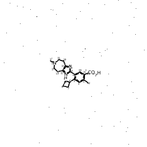 Cc1cc(C2CCC2)c(-c2nc3c([nH]2)CCN(C)CC3)cc1C(=O)O